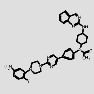 CC(=O)N(c1ccc(-c2cnc(N3CCN(c4cc(N)ccc4F)CC3)nc2)cc1)C1CCC(Nc2ncc3ccccc3n2)CC1